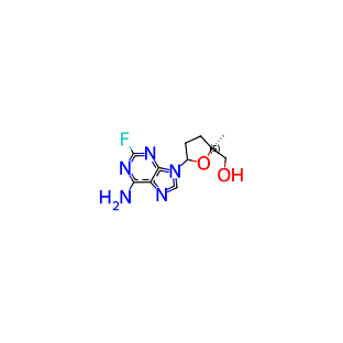 C[C@@]1(CO)CCC(n2cnc3c(N)nc(F)nc32)O1